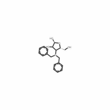 OC[C@H]1O[C@H](O)C(O)C1N(Cc1ccccc1)Cc1ccccc1